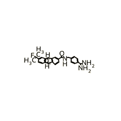 CC(C)(F)c1ccc2c(c1)[C@H]1O[C@@H]2c2ccc(C(=O)NCc3ccc(C(N)N)cc3)cc21